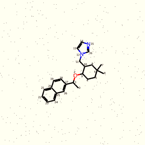 CC(OC1CCC(C)(C)CC1Cn1ccnc1)c1ccc2ccccc2c1